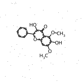 COc1cc2oc(-c3ccccc3)c(O)c(=O)c2c(OC)c1O